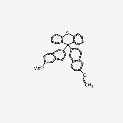 C=COc1ccc2cc(C3(c4ccc5cc(OC)ccc5c4)c4ccccc4Sc4ccccc43)ccc2c1